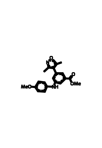 COC(=O)c1cc(Nc2ccc(OC)cc2)cc(-c2c(C)noc2C)c1